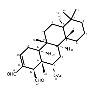 CC(=O)O[C@H]1C[C@@H]2[C@@]3(C)CCCC(C)(C)[C@@H]3CC[C@@]2(C)[C@@H]2CC=C(C=O)[C@H](C=O)[C@@]12C